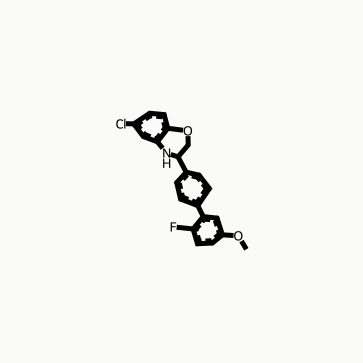 COc1ccc(F)c(-c2ccc(C3COc4ccc(Cl)cc4N3)cc2)c1